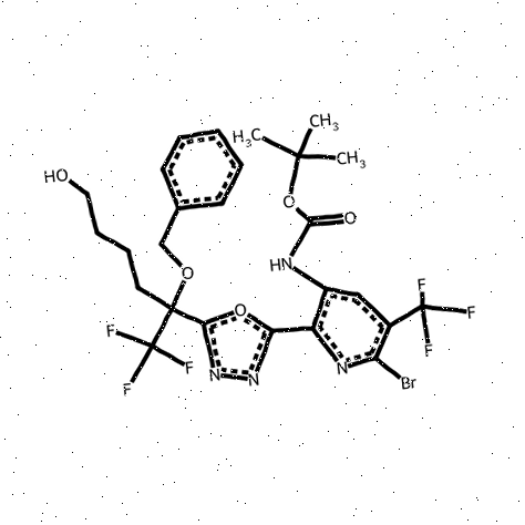 CC(C)(C)OC(=O)Nc1cc(C(F)(F)F)c(Br)nc1-c1nnc(C(CCCCO)(OCc2ccccc2)C(F)(F)F)o1